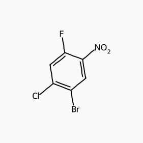 O=[N+]([O-])c1cc(Br)c(Cl)cc1F